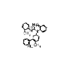 CC1=C(c2ccccc2O)CC(N(C(C)NC2C=CC=CC2C)C2C=CC=CC2C)C=C1